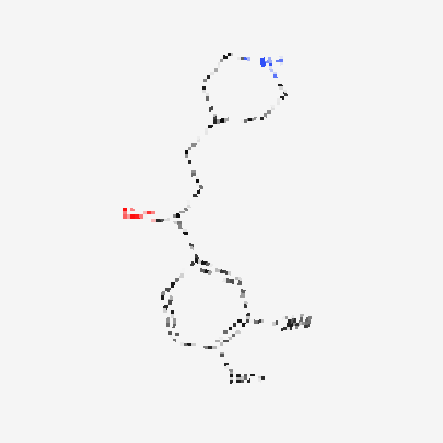 COc1ccc(C(=O)CCC2CCNCC2)cc1OC